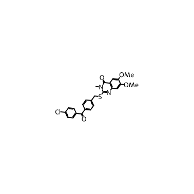 COc1cc2nc(SCc3ccc(C(=O)c4ccc(Cl)cc4)cc3)n(C)c(=O)c2cc1OC